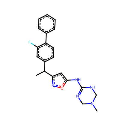 CC(c1ccc(-c2ccccc2)c(F)c1)c1cc(NC2=NCN(C)CN2)on1